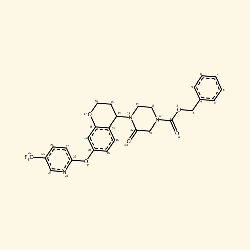 O=C(OCc1ccccc1)N1CCN(C2CCOc3cc(Oc4ccc(C(F)(F)F)cn4)ccc32)C(=O)C1